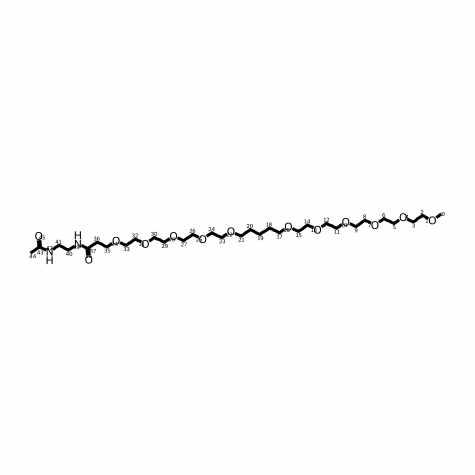 COCCOCCOCCOCCOCCOCCCCCOCCOCCOCCOCCOCCC(=O)NCCNC(C)=O